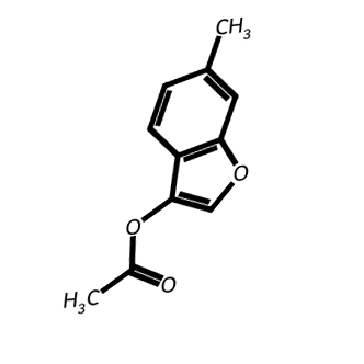 CC(=O)Oc1coc2cc(C)ccc12